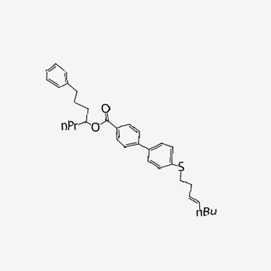 CCCCC=CCCSc1ccc(-c2ccc(C(=O)OC(CCC)CCCc3ccccc3)cc2)cc1